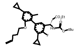 C=CCCCOc1cc(C2CC2)cc(C)c1-c1cc(C2CC2)c(F)c([C@H](CC(=O)OCC)NC(=O)OC(C)(C)C)c1